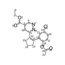 CCOC(=O)c1cnnc(C2=C(c3cc(Cl)ccc3OC(C)=O)CCC2)c1